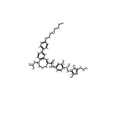 CCCCOCCOc1ccc(-c2ccc3c(c2)/C=C(/C(=O)Nc2ccc([S+]([O-])Cc4[nH]c(CCC)nc4C)c(C)c2)CCCN3CC(C)C)cc1